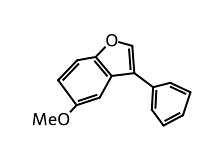 COc1ccc2occ(-c3ccccc3)c2c1